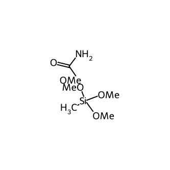 COC(N)=O.CO[Si](C)(OC)OC